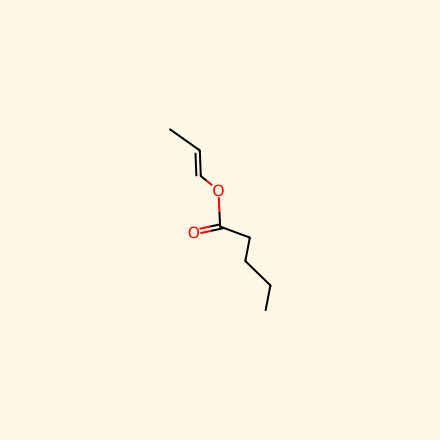 CC=COC(=O)CCCC